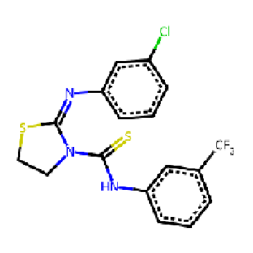 FC(F)(F)c1cccc(NC(=S)N2CCS/C2=N/c2cccc(Cl)c2)c1